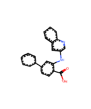 O=C(O)c1ccc(-c2ccccc2)cc1Nc1cnc2ccccc2c1